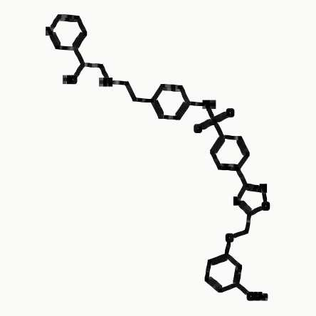 COc1cccc(OCc2nc(-c3ccc(S(=O)(=O)Nc4ccc(CCNCC(O)c5cccnc5)cc4)cc3)no2)c1